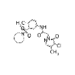 Cc1ccc(NC(=O)Cn2ncc(C)c(Cl)c2=O)cc1S(=O)(=O)N1CCCCCC1